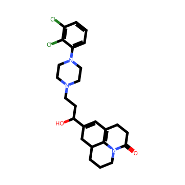 O=C1CCC2=C3C(CCCN13)CC(C(O)CCN1CCN(c3cccc(Cl)c3Cl)CC1)=C2